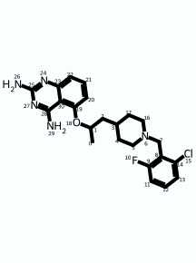 CC(CC1CCN(Cc2c(F)cccc2Cl)CC1)Oc1cccc2nc(N)nc(N)c12